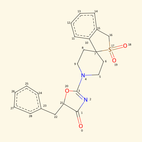 O=C1N=C(N2CCC3(CC2)c2ccccc2CS3(=O)=O)OC1Cc1ccccc1